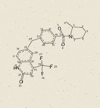 CC1CCCCN1S(=O)(=O)c1ccc(Cc2ccc3[nH]c(=O)cc(C(F)(F)F)c3c2)cc1